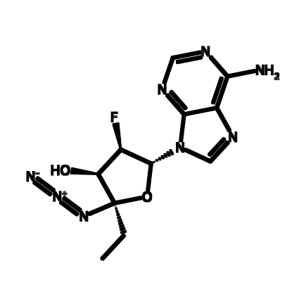 CC[C@@]1(N=[N+]=[N-])O[C@@H](n2cnc3c(N)ncnc32)[C@H](F)[C@@H]1O